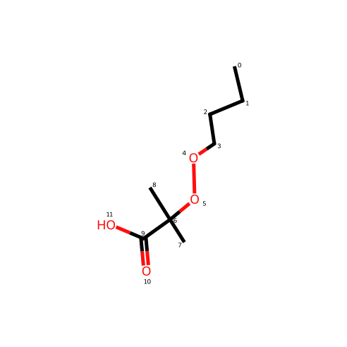 CCCCOOC(C)(C)C(=O)O